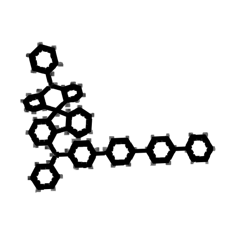 c1ccc(-c2ccc(-c3ccc(-c4ccc(N(c5ccccc5)c5cccc6c5-c5ccccc5C65c6ccccc6N(c6ccccc6)c6ccccc65)cc4)cc3)cc2)cc1